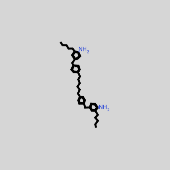 CCCCCc1cc(Cc2ccc(CCCCCCc3ccc(Cc4ccc(N)c(CCCCC)c4)cc3)cc2)ccc1N